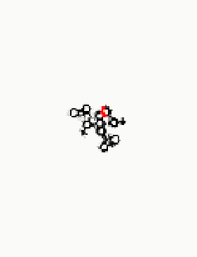 Cc1cc2c3c(c1)N(c1cccc4c1oc1ccccc14)c1ccc(C(C)(C)C)cc1B3c1ccc(N3c4ccccc4C4(C)CCCCC34C)cc1N2c1ccc(C(C)(C)C)cc1-c1ccccc1